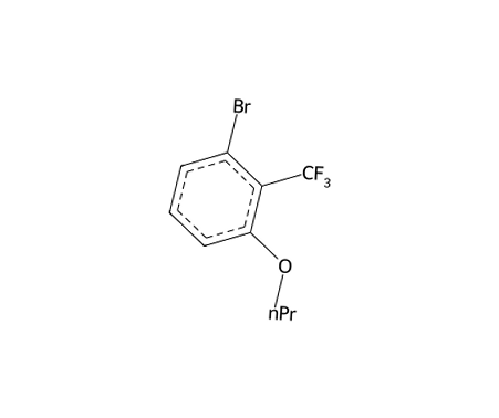 CCCOc1cccc(Br)c1C(F)(F)F